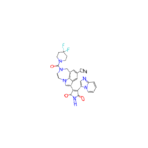 N#Cc1cc2c3c(c1)c(C1=C(c4cnc5ccccn45)C(=O)NC1=O)cn3CCN(C(=O)N1CCC(F)(F)CC1)C2